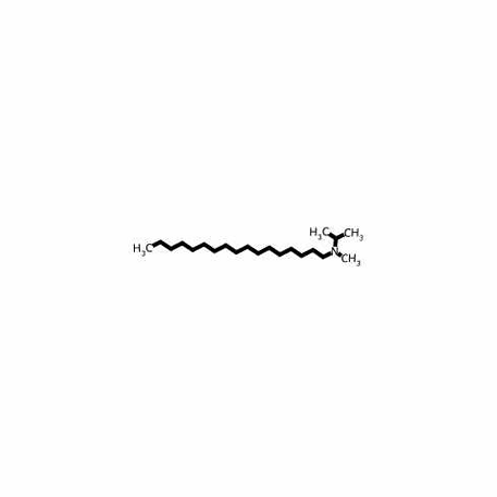 CCCCCCCCCCCCCCCCCN(C)C(C)C